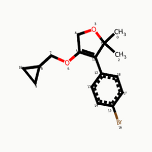 CC1(C)OCC(OCC2CC2)=C1c1ccc(Br)cc1